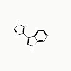 [c]1nc(-c2c[nH]c3ccccc23)co1